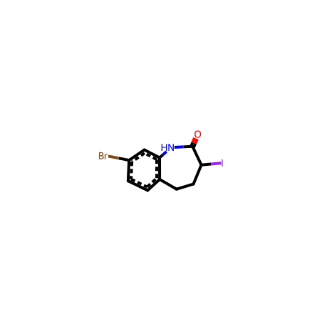 O=C1Nc2cc(Br)ccc2CCC1I